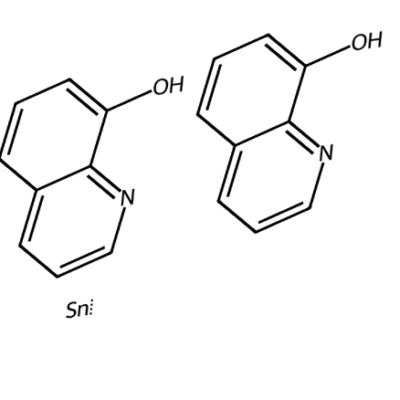 Oc1cccc2cccnc12.Oc1cccc2cccnc12.[Sn]